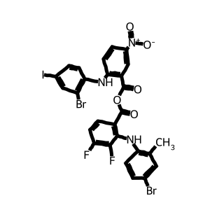 Cc1cc(Br)ccc1Nc1c(C(=O)OC(=O)c2cc([N+](=O)[O-])ccc2Nc2ccc(I)cc2Br)ccc(F)c1F